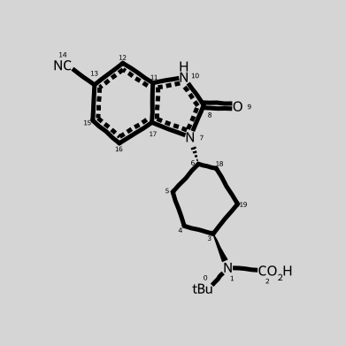 CC(C)(C)N(C(=O)O)[C@H]1CC[C@H](n2c(=O)[nH]c3cc(C#N)ccc32)CC1